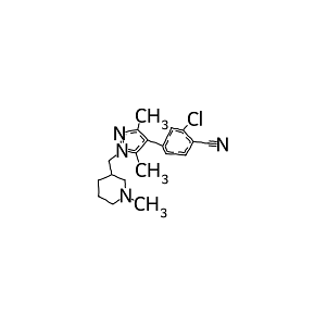 Cc1nn(CC2CCCN(C)C2)c(C)c1-c1ccc(C#N)c(Cl)c1